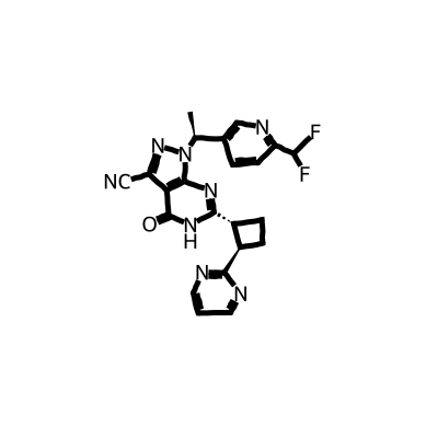 C[C@@H](c1ccc(C(F)F)nc1)n1nc(C#N)c2c(=O)[nH]c([C@@H]3CC[C@H]3c3ncccn3)nc21